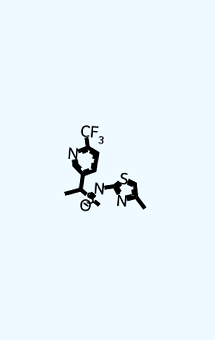 Cc1csc(N=S(C)(=O)C(C)c2ccc(C(F)(F)F)nc2)n1